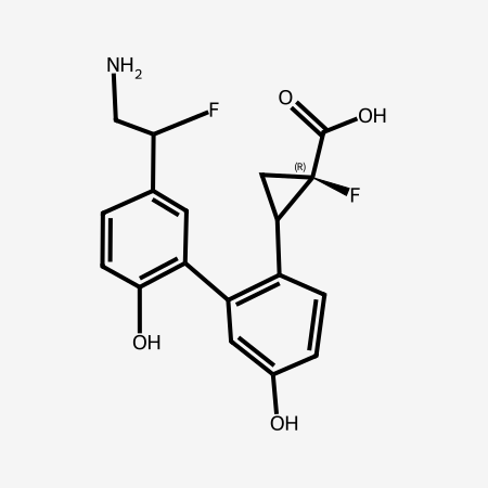 NCC(F)c1ccc(O)c(-c2cc(O)ccc2C2C[C@]2(F)C(=O)O)c1